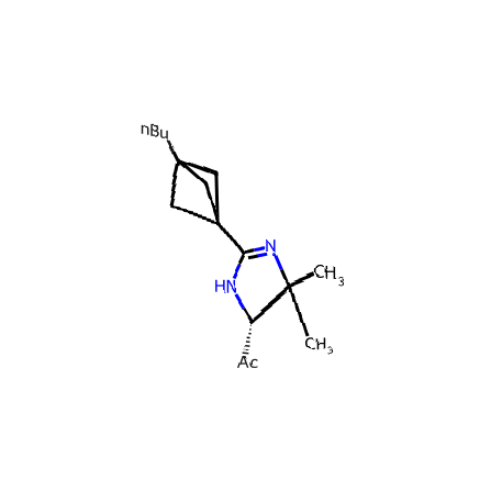 CCCCC12CC(C3=NC(C)(C)[C@H](C(C)=O)N3)(C1)C2